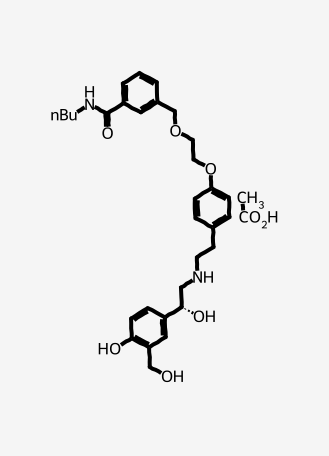 CC(=O)O.CCCCNC(=O)c1cccc(COCCOc2ccc(CCNC[C@H](O)c3ccc(O)c(CO)c3)cc2)c1